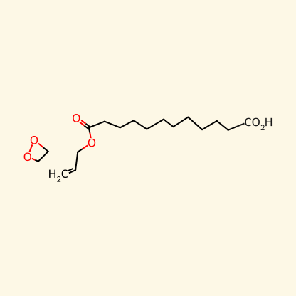 C1COO1.C=CCOC(=O)CCCCCCCCCCC(=O)O